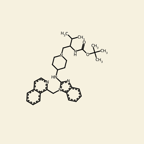 CC(C)C(CN1CCC(Nc2nc3ccccc3n2Cc2nccc3ccccc23)CC1)NC(=O)OC(C)(C)C